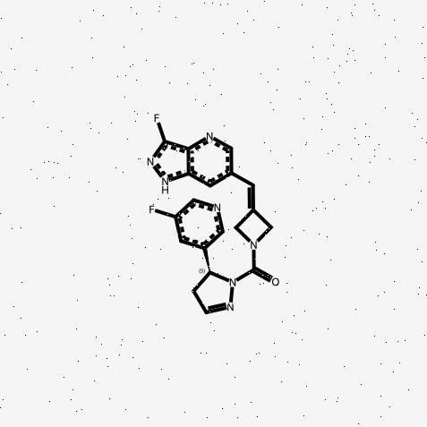 O=C(N1CC(=Cc2cnc3c(F)n[nH]c3c2)C1)N1N=CC[C@H]1c1cncc(F)c1